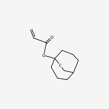 C=CC(=O)OC12CCCC(CCC1)CC2